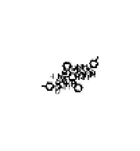 Cc1ccc(S(=O)(=O)NC(=O)Nc2c(-c3ccccc3)c(NC(=O)NS(=O)(=O)c3ccc(C)cc3)c(S(N)(=O)=O)c(-c3ccccc3)c2S(N)(=O)=O)cc1